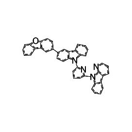 c1cc(-n2c3ccccc3c3cc(-c4ccc5oc6ccccc6c5c4)ccc32)nc(-n2c3ccccc3c3cccnc32)c1